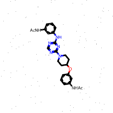 CC(=O)Nc1cccc(Nc2ncnc(N3CCC(Oc4cccc(NC(C)=O)c4)CC3)n2)c1